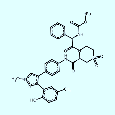 Cc1ccc(O)c(-c2nn(C)cc2-c2ccc(NC(=O)[C@@H]3CS(=O)(=O)CCN3C(=O)[C@H](NC(=O)OC(C)(C)C)c3ccccc3)cc2)c1